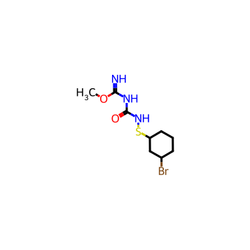 COC(=N)NC(=O)NSC1CCCC(Br)C1